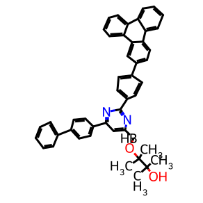 CC(C)(O)C(C)(C)OBc1cc(-c2ccc(-c3ccccc3)cc2)nc(-c2ccc(-c3ccc4c5ccccc5c5ccccc5c4c3)cc2)n1